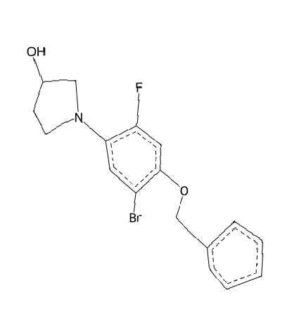 OC1CCN(c2cc(Br)c(OCc3ccccc3)cc2F)C1